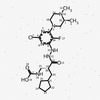 C[C@H]1CN(c2nc(Cl)nc(NNC(=O)[C@@H](CNC(=O)O)CC3CCCC3)c2F)CCN1C